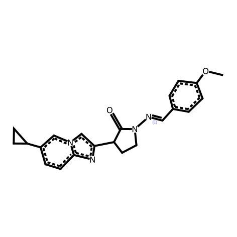 COc1ccc(/C=N/N2CCC(c3cn4cc(C5CC5)ccc4n3)C2=O)cc1